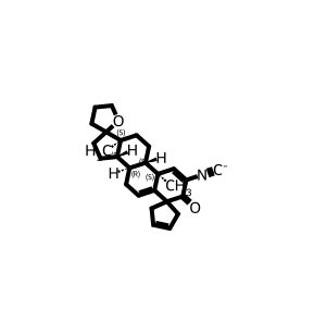 [C-]#[N+]C1=C[C@@]2(C)C(=CC[C@@H]3[C@@H]2CC[C@@]2(C)[C@H]3CCC23CCCO3)C2(CC=CC2)C1=O